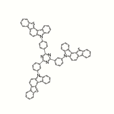 c1cc(-c2nc(-c3ccc(-n4c5ccccc5c5c6sc7ccccc7c6ccc54)cc3)nc(-c3cccc(-n4c5ccccc5c5c6sc7ccccc7c6ccc54)c3)n2)cc(-n2c3ccccc3c3c4sc5ccccc5c4ccc32)c1